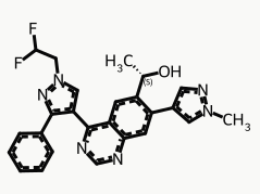 C[C@H](O)c1cc2c(-c3cn(CC(F)F)nc3-c3ccccc3)ncnc2cc1-c1cnn(C)c1